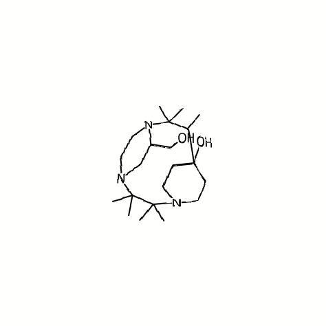 CC1C2(O)CCN(CC2)C(C)(C)C(C)(C)N2CCN(C(CO)C2)C1(C)C